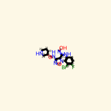 O/N=C(\Nc1ccc(F)c(Br)c1)c1nonc1NOC1CCCNC1